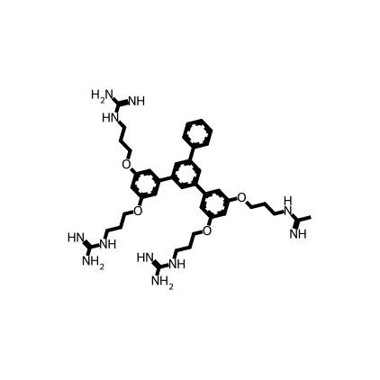 CC(=N)NCCCOc1cc(OCCCNC(=N)N)cc(-c2cc(-c3ccccc3)cc(-c3cc(OCCCNC(=N)N)cc(OCCCNC(=N)N)c3)c2)c1